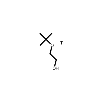 CC(C)(C)OCCO.[Ti]